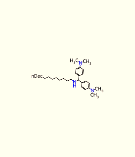 CCCCCCCCCCCCCCCCCCNC(c1ccc(N(C)C)cc1)c1ccc(N(C)C)cc1